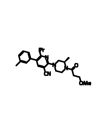 COCCC(=O)N1CCN(c2nc(C(C)C)c(-c3cccc(C)c3)cc2C#N)C[C@H]1C